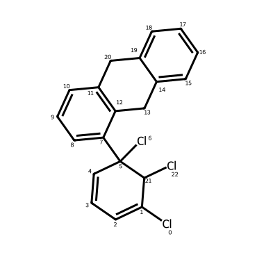 ClC1=CC=CC(Cl)(c2cccc3c2Cc2ccccc2C3)C1Cl